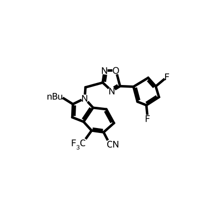 CCCCc1cc2c(C(F)(F)F)c(C#N)ccc2n1Cc1noc(-c2cc(F)cc(F)c2)n1